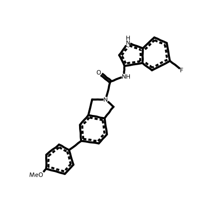 COc1ccc(-c2ccc3c(c2)CN(C(=O)Nc2c[nH]c4ccc(F)cc24)C3)cc1